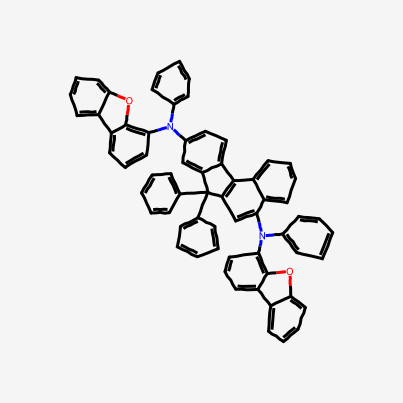 c1ccc(N(c2ccc3c(c2)C(c2ccccc2)(c2ccccc2)c2cc(N(c4ccccc4)c4cccc5c4oc4ccccc45)c4ccccc4c2-3)c2cccc3c2oc2ccccc23)cc1